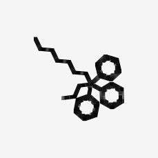 CCCCCCCP(CCC)(c1ccccc1)(c1ccccc1)c1ccccc1